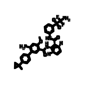 COc1cc(P)c(-c2ccc(C3(C)CC3)cc2)cc1C(=O)N[C@H]1[C@@H](C(=O)Nc2cccc(S(=O)(=O)C(F)(F)P)c2)[C@H]2C=C[C@H]1C2